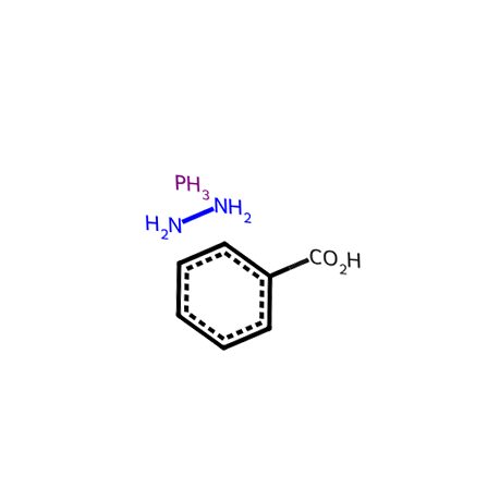 NN.O=C(O)c1ccccc1.P